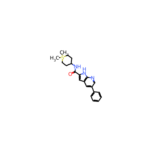 CS1(C)CCC(NC(=O)c2cc3cc(-c4ccccc4)cnc3[nH]2)CC1